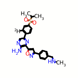 [2H]c1cc(S(=O)(=O)C(C)C)ccc1-c1cnc(N)c(-c2cc(-c3ccc(CNC)cc3)no2)n1